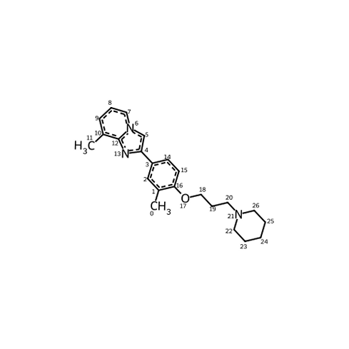 Cc1cc(-c2cn3cccc(C)c3n2)ccc1OCCCN1CCCCC1